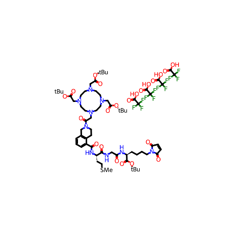 CSCC[C@H](NC(=O)c1cccc2c1CCN(C(=O)CN1CCN(CC(=O)OC(C)(C)C)CCN(CC(=O)OC(C)(C)C)CCN(CC(=O)OC(C)(C)C)CC1)C2)C(=O)NCC(=O)N[C@@H](CCCCN1C(=O)C=CC1=O)C(=O)OC(C)(C)C.O=C(O)C(F)(F)F.O=C(O)C(F)(F)F.O=C(O)C(F)(F)F.O=C(O)C(F)(F)F